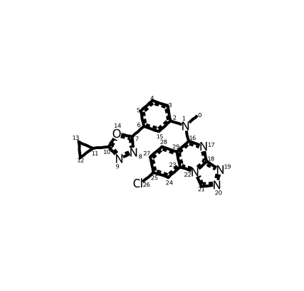 CN(c1cccc(-c2nnc(C3CC3)o2)c1)c1nc2nncn2c2cc(Cl)ccc12